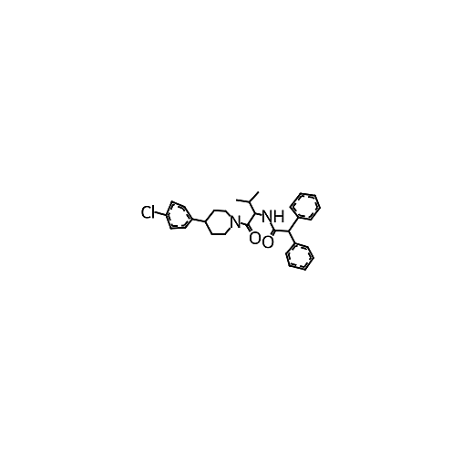 CC(C)C(NC(=O)C(c1ccccc1)c1ccccc1)C(=O)N1CCC(c2ccc(Cl)cc2)CC1